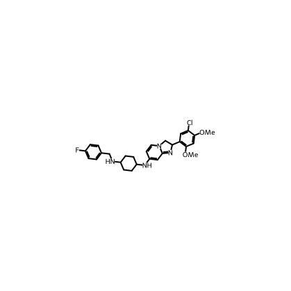 COc1cc(OC)c(C2CN3C=CC(NC4CCC(NCc5ccc(F)cc5)CC4)=CC3=N2)cc1Cl